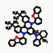 CC(C)(C)c1ccc2c(c1)B1c3cc(C(C)(C)C)ccc3N(c3cccc4c3oc3ccccc34)c3cc(N4c5ccccc5C5(C)CCCCC45C)cc(c31)N2c1cccc2c1oc1ccccc12